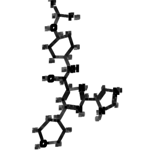 Cn1cncc1-c1nc(C(=O)NC2CCC(OC(F)F)CC2)cc(C2CCOCC2)n1